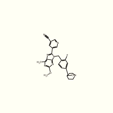 COc1nc(C)c2nc(-c3cncc(C#N)c3)n(Cc3ccc(C4CN5CCC4CC5)cc3F)c2n1